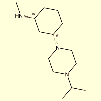 CN[C@@H]1CCC[C@H](N2CCN(C(C)C)CC2)C1